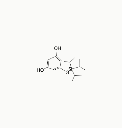 CC(C)[Si](Oc1cc(O)cc(O)c1)(C(C)C)C(C)C